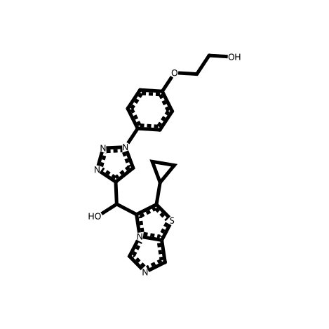 OCCOc1ccc(-n2cc(C(O)c3c(C4CC4)sc4cncn34)nn2)cc1